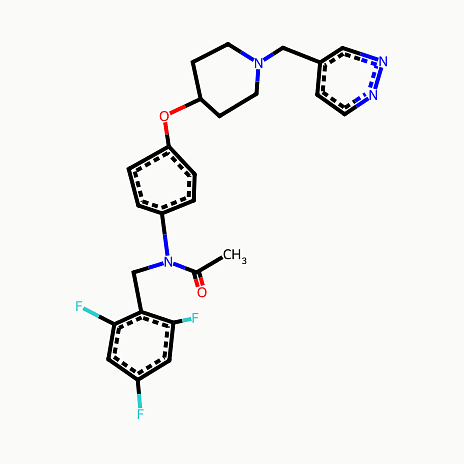 CC(=O)N(Cc1c(F)cc(F)cc1F)c1ccc(OC2CCN(Cc3ccnnc3)CC2)cc1